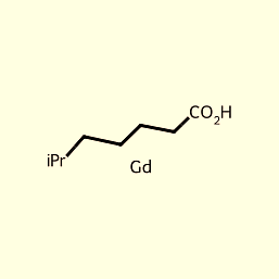 CC(C)CCCCC(=O)O.[Gd]